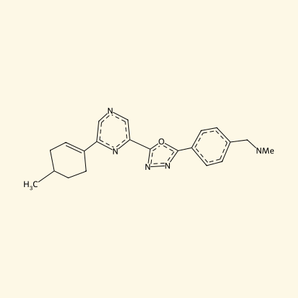 CNCc1ccc(-c2nnc(-c3cncc(C4=CCC(C)CC4)n3)o2)cc1